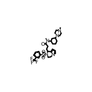 CN1CCN(C2CCCC(N(C)C(=O)CCC3c4cccn4CCN3S(=O)(=O)c3cccc(C(F)(F)F)c3)C2)CC1